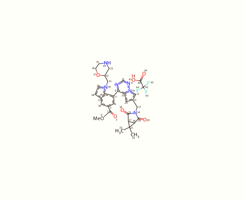 COC(=O)c1cc(-c2ncnn3cc(CN4C(=O)C5C(C4=O)C5(C)C)cc23)c2c(ccn2CC2CNCCO2)c1.O=C(O)C(F)(F)F